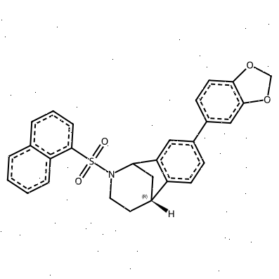 O=S(=O)(c1cccc2ccccc12)N1CC[C@@H]2CC1c1cc(-c3ccc4c(c3)OCO4)ccc12